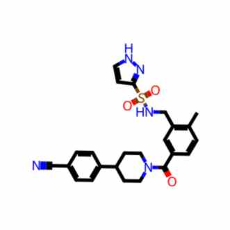 Cc1ccc(C(=O)N2CCC(c3ccc(C#N)cc3)CC2)cc1CNS(=O)(=O)c1cc[nH]n1